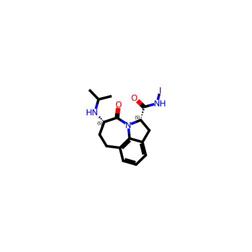 CC(C)N[C@H]1CCc2cccc3c2N(C1=O)[C@H](C(=O)NI)C3